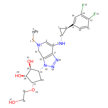 CCCSN1C=C(N[C@@H]2C[C@H]2c2ccc(F)c(F)c2)c2nnn([C@@H]3C[C@H](OCCO)[C@@H](O)[C@H]3O)c2C1